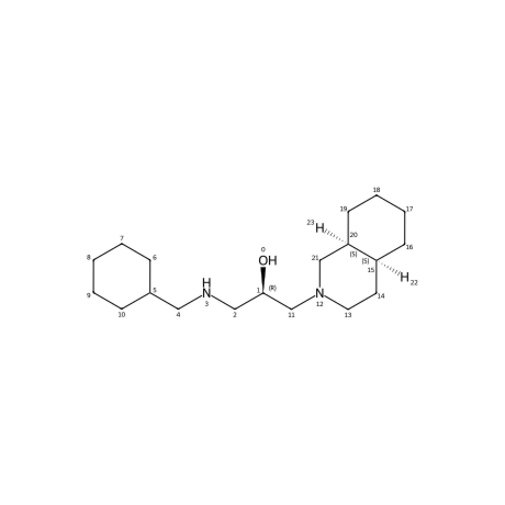 O[C@H](CNCC1CCCCC1)CN1CC[C@@H]2CCCC[C@@H]2C1